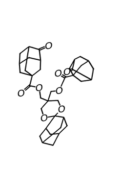 O=C1C2CC3CC1CC(C(=O)OCC1(COC(=O)C45CC6CC(C4)C(=O)C(C6)C5)COC4(OC1)C1CC5CC(C1)CC4C5)(C3)C2